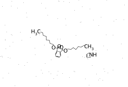 C1=CCNC1.CCCCCCCCOC(=O)c1ccccc1C(=O)OCCCCCCCC